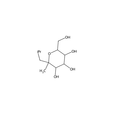 CC(C)CC1(C)OC(CO)C(O)C(O)C1O